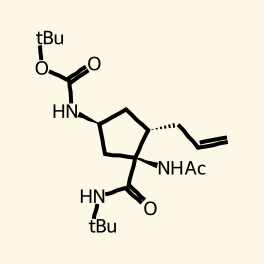 C=CC[C@H]1C[C@H](NC(=O)OC(C)(C)C)C[C@@]1(NC(C)=O)C(=O)NC(C)(C)C